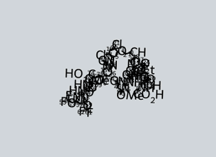 C#CCOc1cc(-n2nc3n(c2=O)CCCC3)c(Cl)cc1Cl.CCS(=O)(=O)c1cccnc1S(=O)(=O)NC(=O)Nc1nc(OC)cc(OC)n1.O=C(Nc1nc(OC(F)F)cc(OC(F)F)n1)NS(=O)(=O)c1ccccc1C(=O)O.O=C(O)CNCP(=O)(O)O